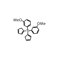 COc1ccc[c]([Ti]([C]2=CC=CC2)([C]2=CC=CC2)[c]2cccc(OC)c2)c1